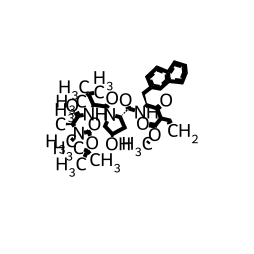 C=CC(C(=O)OC)C(=O)[C@H](Cc1ccc2ccccc2c1)NC(=O)[C@@H]1C[C@@H](O)CN1C(=O)[C@@H](NC(=O)[C@H](C)N(C)C(=O)OC(C)(C)C)C(C)(C)C